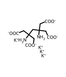 NC(CC(=O)[O-])(CC(=O)[O-])CC(N)(CC(=O)[O-])CC(=O)[O-].[K+].[K+].[K+].[K+]